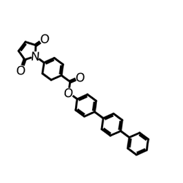 O=C(Oc1ccc(-c2ccc(-c3ccccc3)cc2)cc1)C1=CC=C(N2C(=O)C=CC2=O)CC1